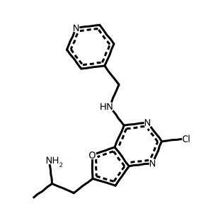 CC(N)Cc1cc2nc(Cl)nc(NCc3ccncc3)c2o1